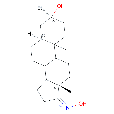 CC[C@]1(O)CCC2(C)C3CC[C@]4(C)/C(=N\O)CCC4C3CC[C@H]2C1